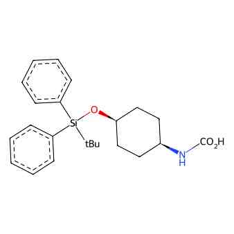 CC(C)(C)[Si](O[C@H]1CC[C@@H](NC(=O)O)CC1)(c1ccccc1)c1ccccc1